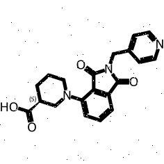 O=C(O)[C@H]1CCCN(c2cccc3c2C(=O)N(Cc2ccncc2)C3=O)C1